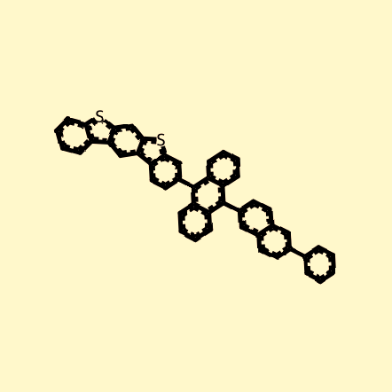 c1ccc(-c2ccc3cc(-c4c5ccccc5c(-c5ccc6c(c5)sc5cc7sc8ccccc8c7cc56)c5ccccc45)ccc3c2)cc1